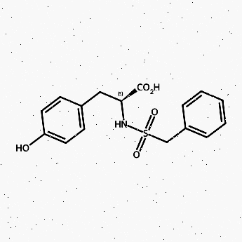 O=C(O)[C@H](Cc1ccc(O)cc1)NS(=O)(=O)Cc1ccccc1